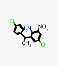 CC(c1ccc(Cl)cc1)c1cc(Cl)cc([N+](=O)[O-])c1N